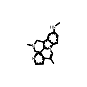 CNc1ccc2c(c1)c1c(n2/C=C(/C)c2ccncc2)CCN(C)C1